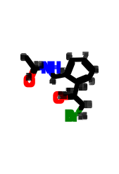 CC(=O)NCc1ccccc1C(=O)CBr